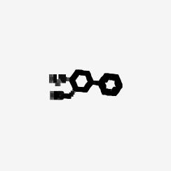 N[C@@H]1CC[C@@H](c2ccccc2)C[C@@H]1CO